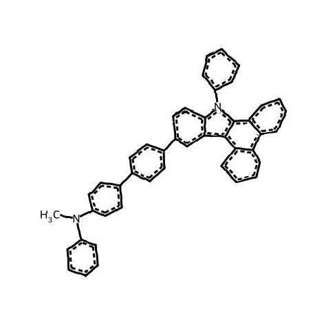 CN(c1ccccc1)c1ccc(-c2ccc(-c3ccc4c(c3)c3c5ccccc5c5ccccc5c3n4-c3ccccc3)cc2)cc1